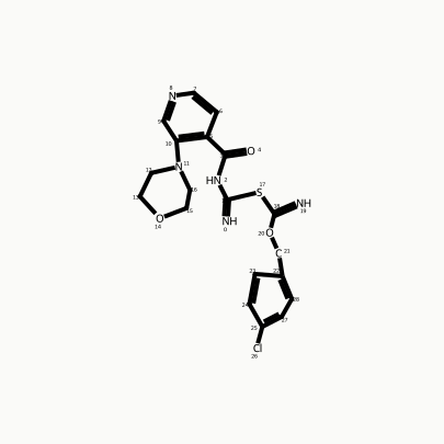 N=C(NC(=O)c1ccncc1N1CCOCC1)SC(=N)OCc1ccc(Cl)cc1